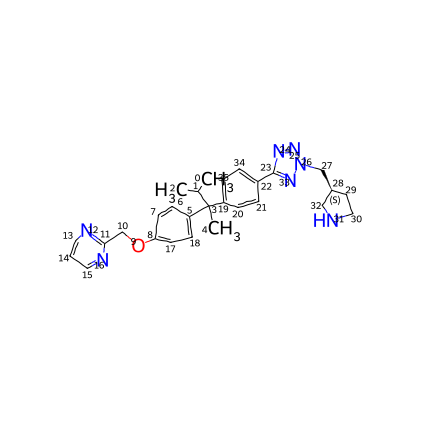 CC(C)C(C)(c1ccc(OCc2ncccn2)cc1)c1ccc(-c2nnn(C[C@H]3CCNC3)n2)cc1